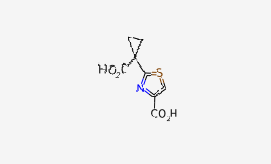 O=C(O)c1csc(C2(C(=O)O)CC2)n1